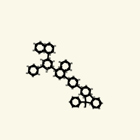 CC1(c2ccccc2)c2ccccc2-c2ccc(-c3ccc(-c4ccc(-c5cc(-c6cccc7ccccc67)nc(-c6ccccc6)n5)c5ccccc45)cc3)cc21